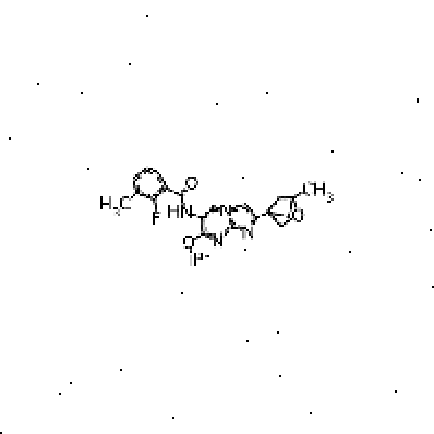 Cc1cccc(C(=O)Nc2cn3cc(C45COC(C)(C4)C5)nc3nc2OC(C)C)c1F